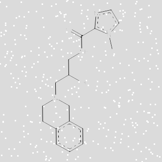 Cn1ccnc1C(=O)NCC(O)CN1CCc2ccccc2C1